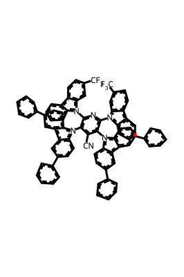 N#Cc1c(-n2c3ccc(-c4ccccc4)cc3c3cc(-c4ccccc4)ccc32)c(-n2c3ccccc3c3ccc(C(F)(F)F)cc32)nc(-n2c3ccccc3c3ccc(C(F)(F)F)cc32)c1-n1c2ccc(-c3ccccc3)cc2c2cc(-c3ccccc3)ccc21